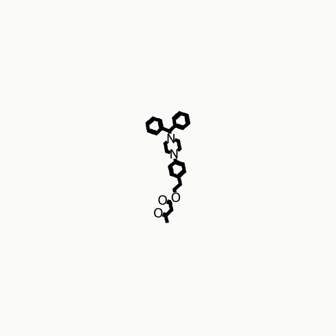 CC(=O)CC(=O)OCCc1ccc(N2CCN(C(c3ccccc3)c3ccccc3)CC2)cc1